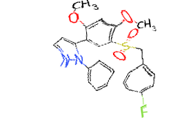 COc1cc(OC)c(S(=O)(=O)Cc2ccc(F)cc2)cc1-c1ccnn1-c1ccccc1